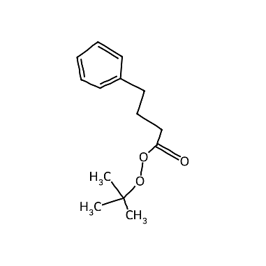 CC(C)(C)OOC(=O)CCCc1ccccc1